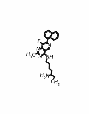 CCC(N)CCCCNc1nc(C)nc2c(F)c(-c3cccc4ccccc34)ncc12